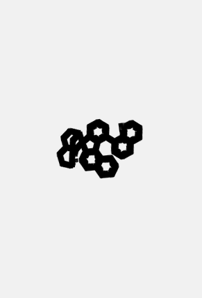 c1cc(-c2cccc3cccnc23)c2c(c1)C1(c3ccc4ccccc4c3-2)C2CCC3CCC(C2)CC31